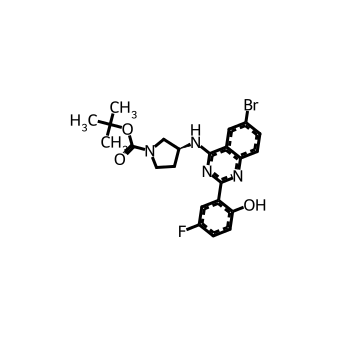 CC(C)(C)OC(=O)N1CC[C@H](Nc2nc(-c3cc(F)ccc3O)nc3ccc(Br)cc23)C1